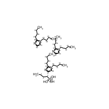 CCCC[PH](O)(O)O.CCCCc1nccn1CCCC.CCCCc1nccn1CCCC.CCCCc1nccn1CCCC